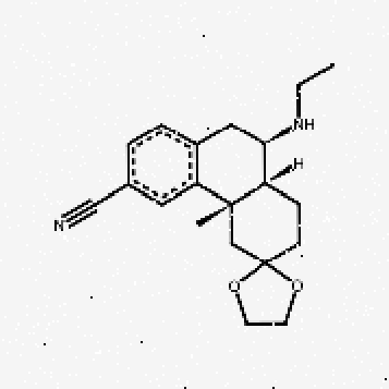 CCN[C@@H]1Cc2ccc(C#N)cc2[C@@]2(C)CC3(CC[C@@H]12)OCCO3